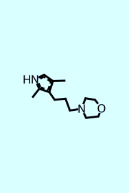 Cc1c[nH]c(C)c1CCCN1CCOCC1